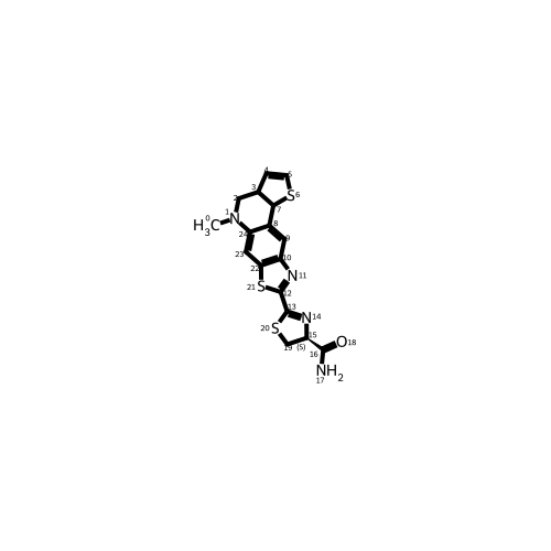 CN1CC2C=CSC2c2cc3nc(C4=N[C@@H](C(N)=O)CS4)sc3cc21